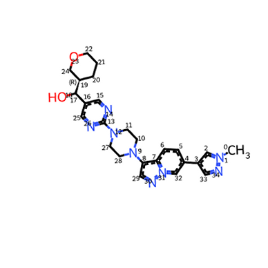 Cn1cc(-c2ccc3c(N4CCN(c5ncc(C(O)[C@@H]6CCCOC6)cn5)CC4)cnn3c2)cn1